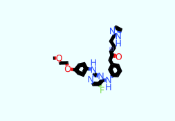 COCCOc1ccc(Nc2ncc(F)c(Nc3cccc(CC(=O)/C=C/Cc4ncc[nH]4)c3)n2)cc1